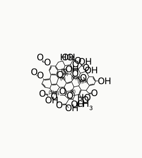 CC(=O)C1=C2C(C(=O)O)C3=CC(O)=CC4C(O)C5C6(C(=O)O)OC67C(C(=O)O)C6C(O)Cc8c(OC=O)cc9c%10c8[C@@]6(O)[C@@]68O[C@]6%11C6=C%12C(C2[C@]2(O[C@]342)[C@@]52O[C@]%122C78)[C@]23OC12C(O)=C(C(=O)O)C1=C3C62OC23C(=C2C9=C(OC=O)C=CC2[C@]2(C(=O)O)O[C@]32C1)C%10%11